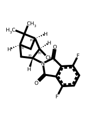 C[C@H]1[C@H](N2C(=O)c3c(F)ccc(F)c3C2=O)C[C@@H]2C[C@H]1C2(C)C